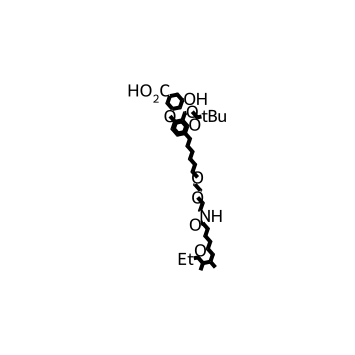 CCC(=O)C(C)C(C)CCCCCC(=O)NCCOCCOCCCCCCc1ccc(OC2CC(O)CC(C(=O)O)C2)c(COC(=O)C(C)(C)C)c1